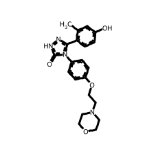 Cc1cc(O)ccc1-c1n[nH]c(=O)n1-c1ccc(OCCN2CCOCC2)cc1